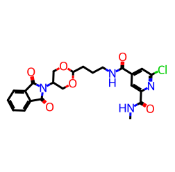 CNC(=O)c1cc(C(=O)NCCCC2OCC(N3C(=O)c4ccccc4C3=O)CO2)cc(Cl)n1